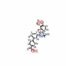 Cc1ccc(NC(=O)C2(c3ccc4c(c3)OCO4)CC2)cc1-c1ccc(C(C)O)cc1